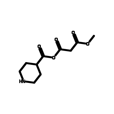 COC(=O)CC(=O)OC(=O)C1CCNCC1